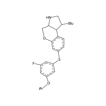 CC(C)Oc1cc(F)cc(Sc2ccc3c(c2)OCC2NCC(C(C)(C)C)C32)c1